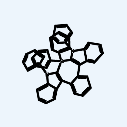 c1ccc(-n2c3c(c4ccccc42)-c2ccccc2-c2c(n(-c4ccccc4)c4ccccc24)[Si]3(c2ccccc2)c2ccccc2)cc1